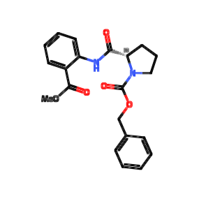 COC(=O)c1ccccc1NC(=O)[C@@H]1CCCN1C(=O)OCc1ccccc1